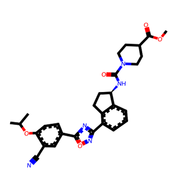 COC(=O)C1CCN(C(=O)N[C@@H]2CCc3c(-c4noc(-c5ccc(OC(C)C)c(C#N)c5)n4)cccc32)CC1